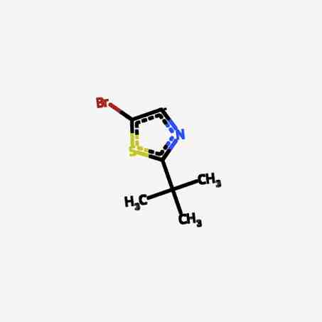 CC(C)(C)c1n[c]c(Br)s1